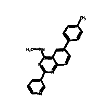 CNc1nc(-c2cccnc2)nc2ccc(-c3ccc(C)cc3)cc12